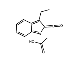 CC(=O)O.CCC1=c2ccccc2=NC1=C=O